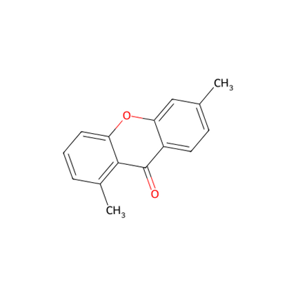 Cc1ccc2c(=O)c3c(C)cccc3oc2c1